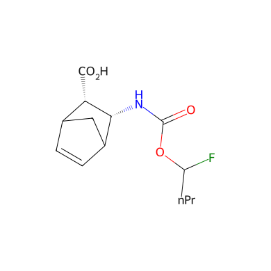 CCCC(F)OC(=O)N[C@@H]1C2C=CC(C2)[C@@H]1C(=O)O